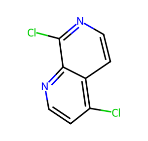 Clc1ccnc2c(Cl)nccc12